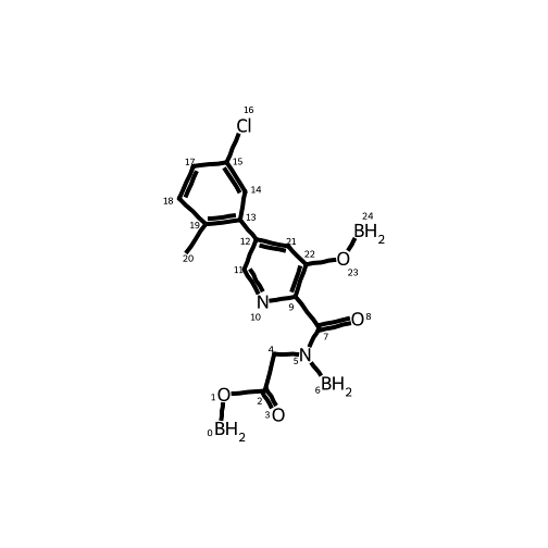 BOC(=O)CN(B)C(=O)c1ncc(-c2cc(Cl)ccc2C)cc1OB